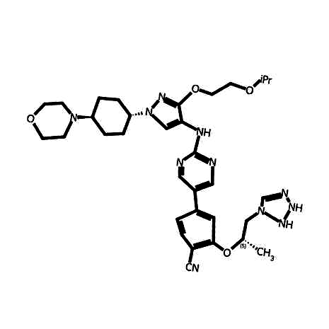 CC(C)OCCOc1nn([C@H]2CC[C@H](N3CCOCC3)CC2)cc1Nc1ncc(-c2ccc(C#N)c(O[C@@H](C)CN3C=NNN3)c2)cn1